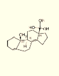 C[C@]12CCCC=C1CCC1=C3CCC[C@@]3(C(O)(O)O)CC[C@@H]12